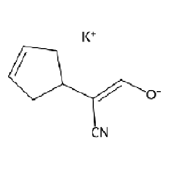 N#C/C(=C\[O-])C1CC=CC1.[K+]